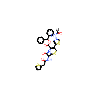 CCC(=O)NN1C=C(C2=C(C(=O)OC(c3ccccc3)c3ccccc3)N3C(=O)C(NC(=O)Cc4cccs4)C3SC2)SC1